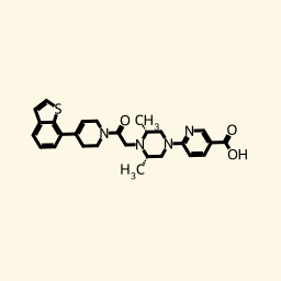 C[C@@H]1CN(c2ccc(C(=O)O)cn2)C[C@H](C)N1CC(=O)N1CC=C(c2cccc3ccsc23)CC1